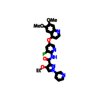 CCOc1cn(-c2cccnc2)nc1C(=O)Nc1ncc(Oc2ccnc3cc(OC)c(OC)cc23)cc1F